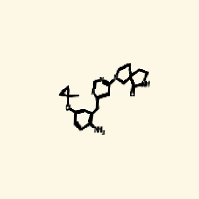 CC1(Oc2ccc(N)c(Cc3cc(N4CCC5(CCNC5=O)C4)ncn3)c2)CC1